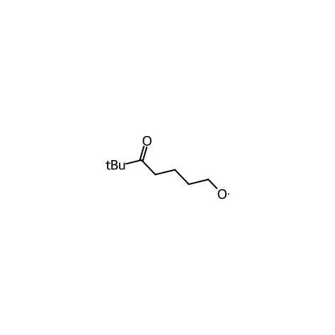 CC(C)(C)C(=O)CCCC[O]